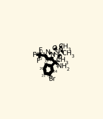 CN(C)S(=O)(=O)n1nc(C(F)(F)F)cc1C(C)(N)c1cccc(Br)c1